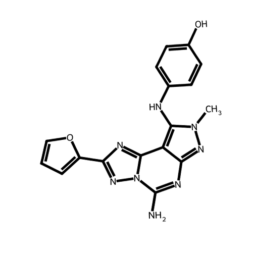 Cn1nc2nc(N)n3nc(-c4ccco4)nc3c2c1Nc1ccc(O)cc1